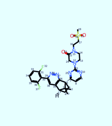 CC1(C)[C@H]2CC[C@]1(c1ccnc(N3CCN(CCS(C)(=O)=O)C(=O)C3)n1)c1nnc(-c3c(F)cccc3F)cc12